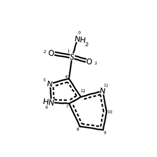 NS(=O)(=O)c1n[nH]c2cccnc12